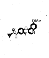 COc1ccc2nccc(Oc3ccc(N[S+]([O-])C4CC4)cc3F)c2c1